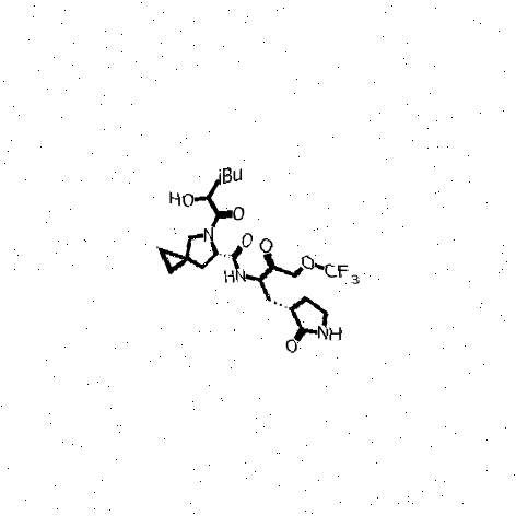 CCC(C)C(O)C(=O)N1CC2(CC2)C[C@H]1C(=O)NC(C[C@@H]1CCNC1=O)C(=O)COC(F)(F)F